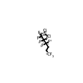 FC(F)(F)CCC(F)(F)C(F)(F)C(F)(F)[SiH](Cl)Cl